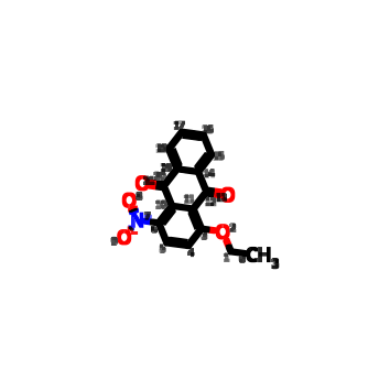 CCOc1ccc([N+](=O)[O-])c2c1C(=O)c1ccccc1C2=O